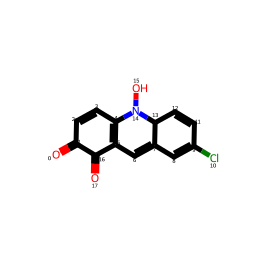 O=C1C=CC2=C(C=C3C=C(Cl)C=CC3N2O)C1=O